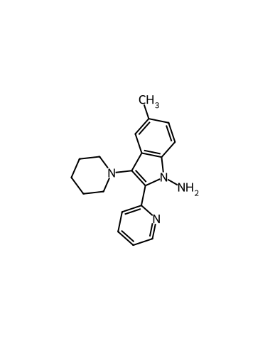 Cc1ccc2c(c1)c(N1CCCCC1)c(-c1ccccn1)n2N